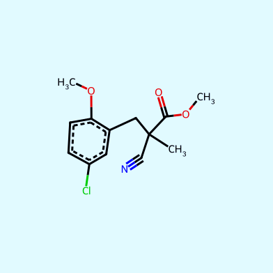 COC(=O)C(C)(C#N)Cc1cc(Cl)ccc1OC